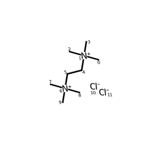 C[N+](C)(C)CC[N+](C)(C)C.[Cl-].[Cl-]